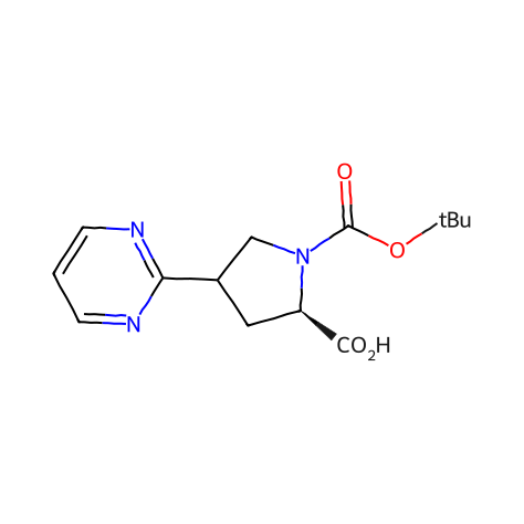 CC(C)(C)OC(=O)N1CC(c2ncccn2)C[C@@H]1C(=O)O